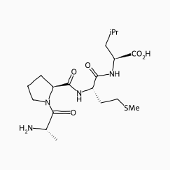 CSCC[C@H](NC(=O)[C@@H]1CCCN1C(=O)[C@H](C)N)C(=O)N[C@@H](CC(C)C)C(=O)O